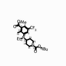 CCN(c1cc(C(F)(F)F)cc(C(=O)OC)c1C)C1CCN(C(=O)OC(C)(C)C)CC1